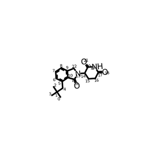 CC(C)(C)Cc1cccc2c1C(=O)N(C1CCC(=O)NC1=O)C2